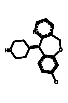 Clc1ccc2c(c1)OCc1cccnc1C2=C1CCNCC1